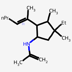 C=C(C)NC1CC(C)(CC)C(C)C1/C(C)=C/CCC